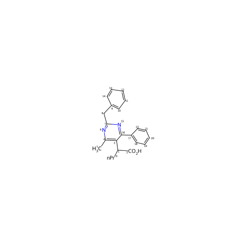 CCCC(C(=O)O)c1c(C)nc(Cc2ccccc2)nc1-c1ccccc1